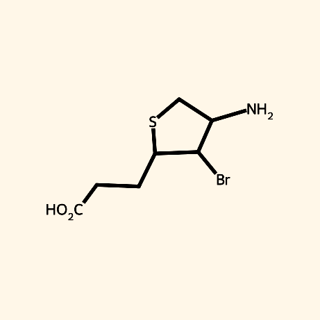 NC1CSC(CCC(=O)O)C1Br